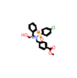 COC(=O)c1ccc(CN([C@@H](CO)c2ccccc2)S(=O)(=O)c2ccc(Cl)cc2)cc1